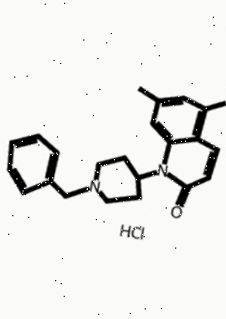 Cc1cc(C)c2ccc(=O)n(C3CCN(Cc4ccccc4)CC3)c2c1.Cl